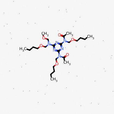 CCCCOCN(COC)c1nc(N(COCCCC)C(C)=O)nc(N(COCCCC)C(C)=O)n1